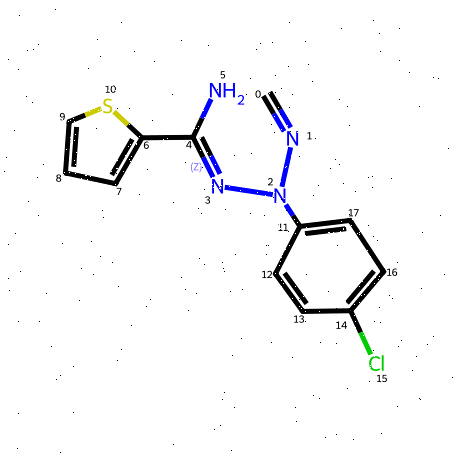 C=NN(/N=C(\N)c1cccs1)c1ccc(Cl)cc1